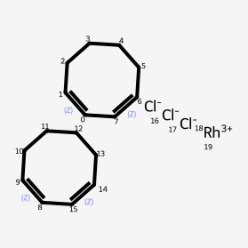 C1=C\CCCC\C=C/1.C1=C\CCCC\C=C/1.[Cl-].[Cl-].[Cl-].[Rh+3]